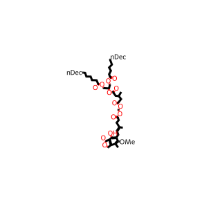 CCCCCCCCCCCCCCCC(=O)OCC(COC(=O)CCCCCCCCCCCCCCC)OC(=O)CC(C)CC(=O)OCOC(=O)CC/C(C)=C/Cc1c(O)c2c(c(C)c1OC)COC2=O